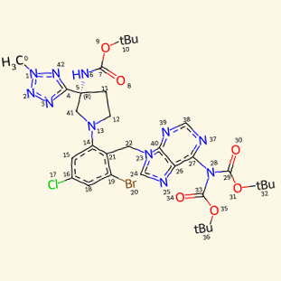 Cn1nnc([C@@]2(NC(=O)OC(C)(C)C)CCN(c3cc(Cl)cc(Br)c3Cn3cnc4c(N(C(=O)OC(C)(C)C)C(=O)OC(C)(C)C)ncnc43)C2)n1